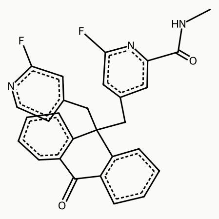 CNC(=O)c1cc(CC2(Cc3ccnc(F)c3)c3ccccc3C(=O)c3ccccc32)cc(F)n1